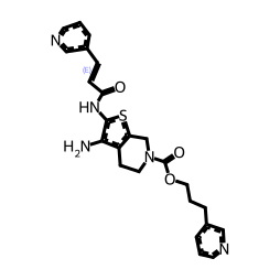 Nc1c(NC(=O)/C=C/c2cccnc2)sc2c1CCN(C(=O)OCCCc1cccnc1)C2